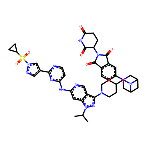 CC(C)n1nc(N2CCC(CN3C4CC3CN(c3ccc5c(c3)C(=O)N(C3CCC(=O)NC3=O)C5=O)C4)CC2)c2cnc(Nc3ccnc(-c4cnn(S(=O)(=O)C5CC5)c4)n3)cc21